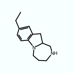 CCc1ccc2c(c1)CC1CNCCCN21